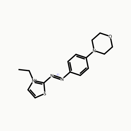 CC[n+]1ccsc1/N=N/c1ccc(N2CCOCC2)cc1